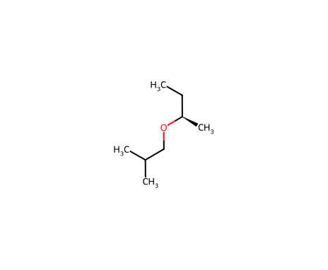 CC[C@@H](C)OCC(C)C